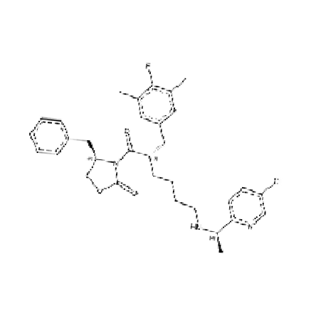 Cc1cc(C[C@H](CCCCN[C@H](C)c2ccc(Cl)cn2)C(=O)N2C(=O)OC[C@H]2Cc2ccccc2)cc(C)c1F